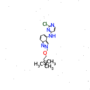 C[Si](C)(C)CCOCn1cc2c(Nc3ccnc(Cl)n3)cccc2n1